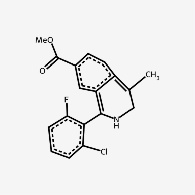 COC(=O)c1ccc2c(c1)=C(c1c(F)cccc1Cl)NCC=2C